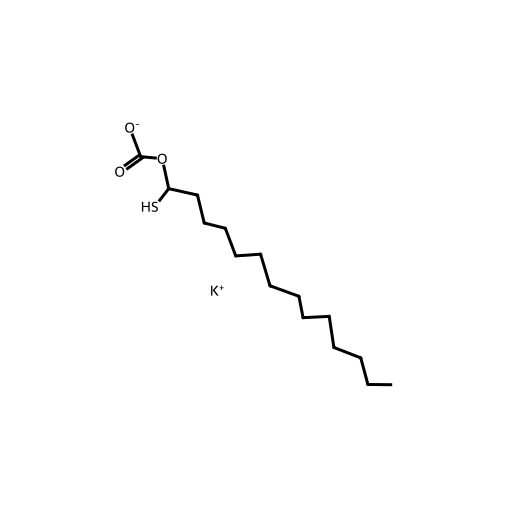 CCCCCCCCCCCCCC(S)OC(=O)[O-].[K+]